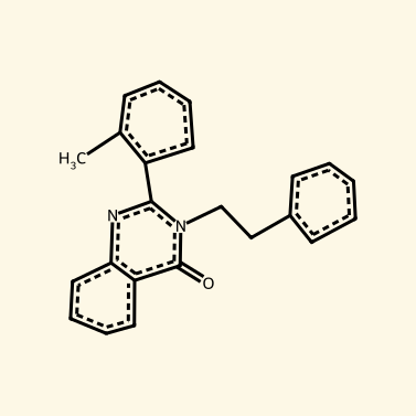 Cc1ccccc1-c1nc2ccccc2c(=O)n1CCc1ccccc1